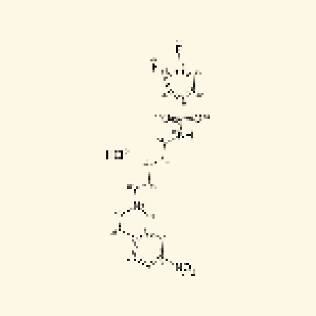 Cl.O=[N+]([O-])c1ccc2c(c1)CN(CCCCCNS(=O)(=O)c1ccc(F)c(F)c1)CC2